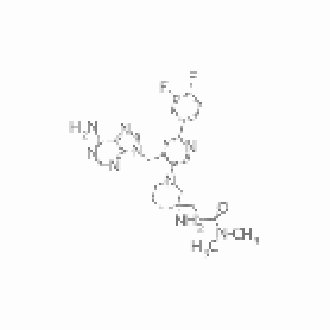 CN(C)C(=O)CC[C@@]1(N)CCCN(c2cnc(-c3ccc(F)c(F)c3)cc2Cn2cnc3c(N)ncnc32)C1